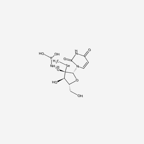 C[Se][C@@]1(O)[C@H](O)[C@@H](CO)O[C@H]1n1ccc(=O)[nH]c1=O.NP(O)O